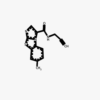 C#CCNC(=O)c1cnc2sc3cc(C)ccc3n12